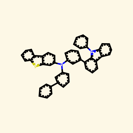 c1ccc(-c2cccc(N(c3cccc(-c4cccc5c6ccccc6n(-c6ccccc6)c45)c3)c3ccc4c(c3)sc3ccccc34)c2)cc1